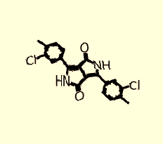 Cc1ccc(C2=C3C(=O)NC(c4ccc(C)c(Cl)c4)=C3C(=O)N2)cc1Cl